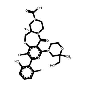 CC1(CO)CN(c2nc(-c3c(O)cccc3F)c(Cl)c3c2C(=O)N2CCN(C(=O)O)C[C@@H]2CO3)CCO1